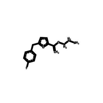 C=C(O[SiH2][SiH2][SiH3])c1ccc(Cc2ccc(F)cc2)o1